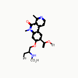 C=C(OCC)c1cc2c3ccnc(C)c3c(=O)n(C)c2cc1OCC(CC(C)C)NC(=O)O